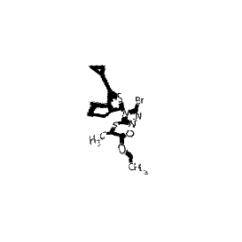 CCOC(=O)C(C)Sc1nnc(Br)n1-c1sc(C2CC2)c2c1CCC2